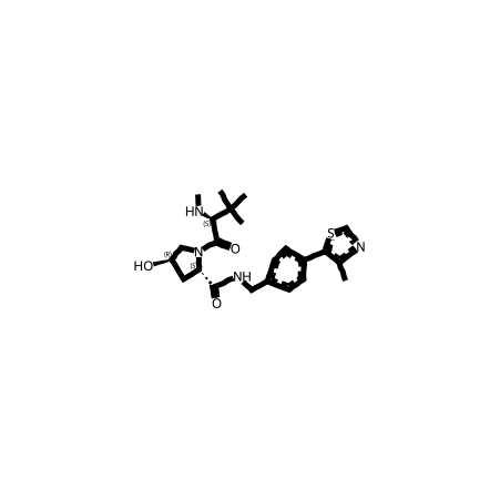 CN[C@H](C(=O)N1C[C@H](O)C[C@H]1C(=O)NCc1ccc(-c2scnc2C)cc1)C(C)(C)C